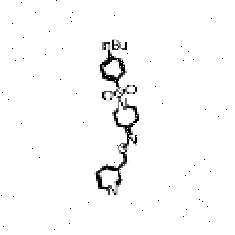 CCCCc1ccc(S(=O)(=O)N2CCC(=NOCc3cccnc3)CC2)cc1